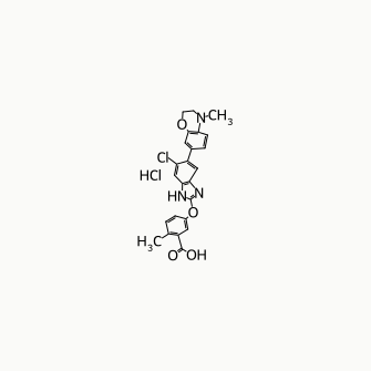 Cc1ccc(Oc2nc3cc(-c4ccc5c(c4)OCCN5C)c(Cl)cc3[nH]2)cc1C(=O)O.Cl